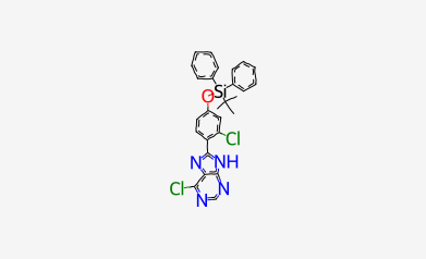 CC(C)(C)[Si](Oc1ccc(-c2nc3c(Cl)ncnc3[nH]2)c(Cl)c1)(c1ccccc1)c1ccccc1